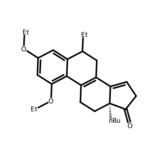 CCCC[C@]12CCC3=C(CC(CC)c4cc(OCC)cc(OCC)c43)C1=CCC2=O